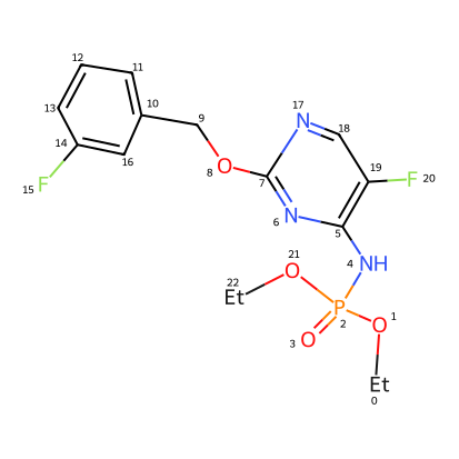 CCOP(=O)(Nc1nc(OCc2cccc(F)c2)ncc1F)OCC